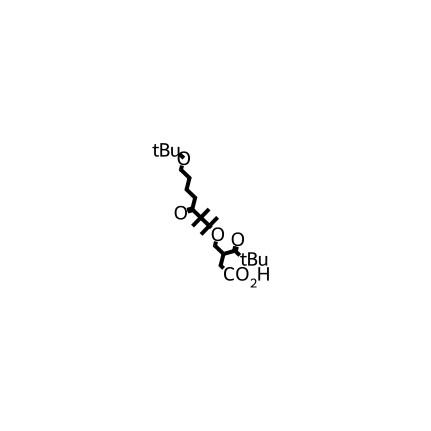 CC(C)(C)OCCCCC(=O)C(C)(C)C(C)(C)OCC(CC(=O)O)C(=O)C(C)(C)C